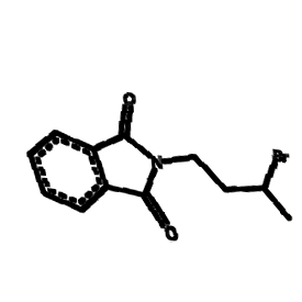 CC(Br)CCN1C(=O)c2ccccc2C1=O